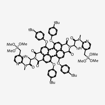 CCCC(C(=O)N(C)c1cc(C[Si](OC)(OC)OC)ccn1)N1C(=O)c2cc(Oc3ccc(C(C)(C)C)cc3)c3c4c(Oc5ccc(C(C)(C)C)cc5)cc5c6c(cc(Oc7ccc(C(C)(C)C)cc7)c(c7c(Oc8ccc(C(C)(C)C)cc8)cc(c2c37)C1=O)c64)C(=O)N(C(CCC)C(=O)N(C)c1cc(C[Si](OC)(OC)OC)ccn1)C5=O